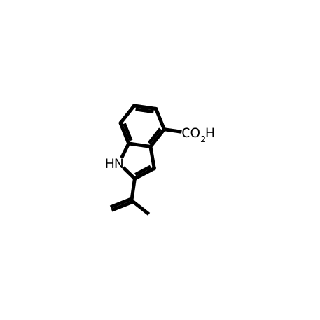 C=C(C)c1cc2c(C(=O)O)cccc2[nH]1